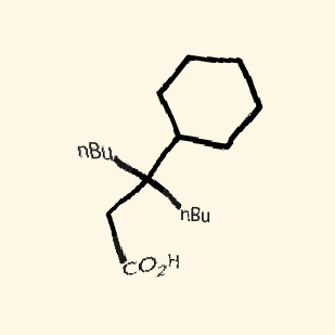 CCCCC(CCCC)(CC(=O)O)C1CCCCC1